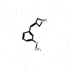 COc1cccc(C=C2CNC2)c1